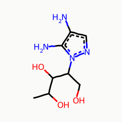 CC(O)C(O)C(CO)n1ncc(N)c1N